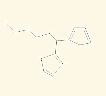 [Cl][Zr][O]CCC(C1=CC=CC1)C1=CC=CC1